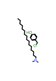 CCCCCCCCCCCCCCCCN(C)C.Cl.ClCc1ccccc1